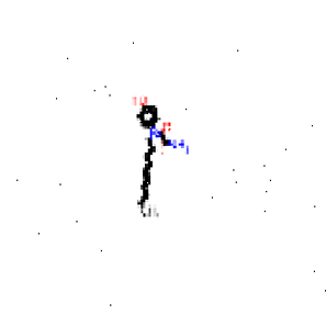 CCCCCCCCCCN(C(=O)C(N)=O)c1ccc(O)cc1